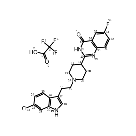 O=C(O)C(F)(F)F.O=c1[nH]c(C2CCN(CCc3c[nH]c4cc(Cl)ccc34)CC2)nc2ccc(F)cc12